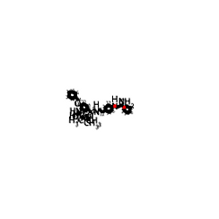 CC(C)(C)[Si](C)(C)O[C@@H](CNCCc1ccc(NC[C@H](N)c2ccccc2)cc1)c1ccc(OCc2ccccc2)c(NC=O)c1